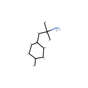 CC1CCC(CC(C)(C)N)CC1